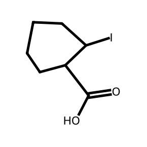 O=C(O)C1CCCCC1I